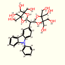 OCC1(CO)OB(C(B2OC(CO)(CO)C(CO)(CO)O2)c2ccc3c(c2)c2ccccc2n3-c2ccccc2)OC1(CO)CO